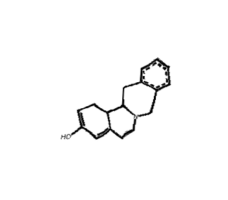 OC1=CCC2C(=C1)CCN1Cc3ccccc3CC21